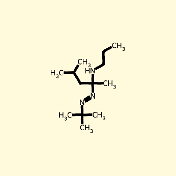 CCCNC(C)(CC(C)C)/N=N/C(C)(C)C